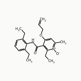 C=CCOc1cc(C)[n+]([O-])c(CC)c1C(=O)Nc1c(CC)cccc1CC